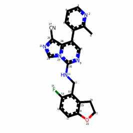 Cc1ncccc1-c1cnc(NCc2c(F)ccc3c2CCO3)n2cnc(C#N)c12